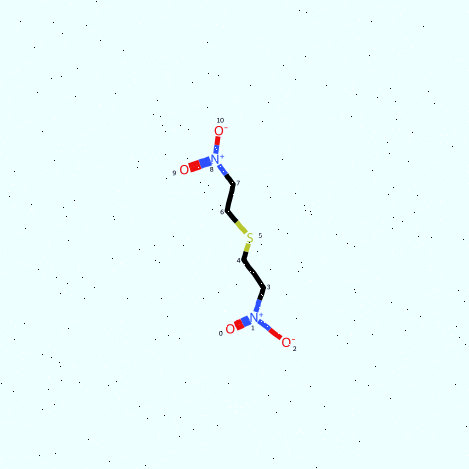 O=[N+]([O-])CCSCC[N+](=O)[O-]